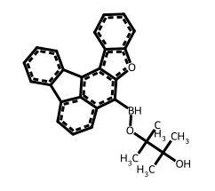 CC(C)(O)C(C)(C)OBc1c2cccc3c2c(c2c1oc1ccccc12)-c1ccccc1-3